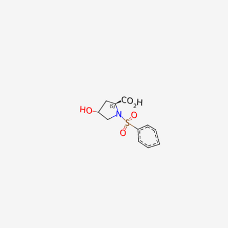 O=C(O)[C@@H]1CC(O)CN1S(=O)(=O)c1ccccc1